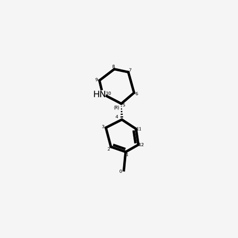 CC1=CCC([C@H]2CCCCN2)C=C1